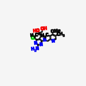 COc1c(C)cnc(Cn2cc([C@](C)(O)CO)c3c(Cl)nc(N)nc32)c1C